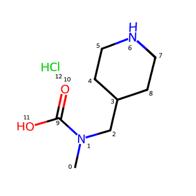 CN(CC1CCNCC1)C(=O)O.Cl